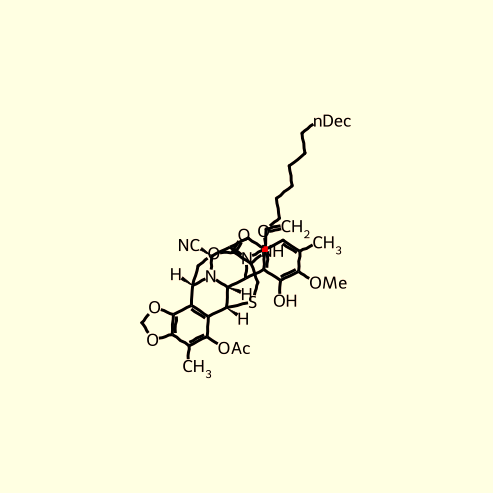 C=CCN1C2c3c(cc(C)c(OC)c3O)CC1[C@H](C#N)N1[C@H]2[C@@H]2SCC(NOCCCCCCCCCCCCCCCC)C(=O)OC[C@H]1c1c3c(c(C)c(OC(C)=O)c12)OCO3